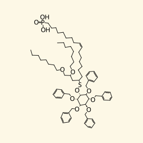 CCCCCCCCOCC(CC(CCCCCC/C=C\CCCCCCCCP(=O)(O)O)SO[C@@H]1[C@@H](OCc2ccccc2)[C@H](OCc2ccccc2)[C@@H](OCc2ccccc2)[C@H](OCc2ccccc2)[C@@H]1OCc1ccccc1)OCCCCCCCC